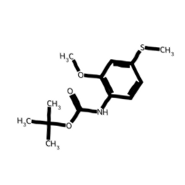 COc1cc(SC)ccc1NC(=O)OC(C)(C)C